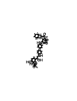 COC(=O)C(Cc1ccccc1)NC1=NS(=O)(=O)N=C1Nc1ccc(N2CCC(NC[C@H](O)c3ccc(O)c(NS(C)(=O)=O)c3)CC2)cc1